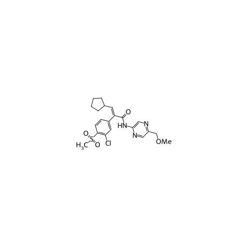 COCc1cnc(NC(=O)/C(=C/C2CCCC2)c2ccc(S(C)(=O)=O)c(Cl)c2)cn1